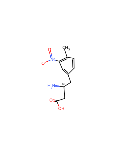 Cc1ccc(C[C@H](N)CC(=O)O)cc1[N+](=O)[O-]